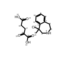 CC1(Cl)CNCCc2ccccc21.O=C(O)CCC(=O)C(=O)O